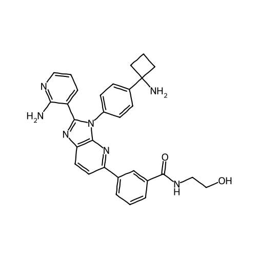 Nc1ncccc1-c1nc2ccc(-c3cccc(C(=O)NCCO)c3)nc2n1-c1ccc(C2(N)CCC2)cc1